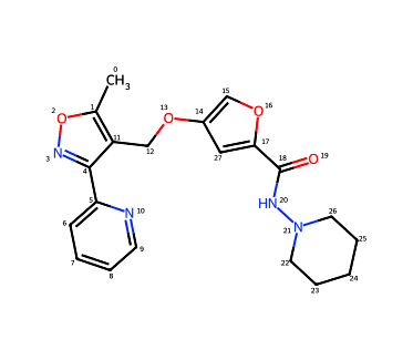 Cc1onc(-c2ccccn2)c1COc1coc(C(=O)NN2CCCCC2)c1